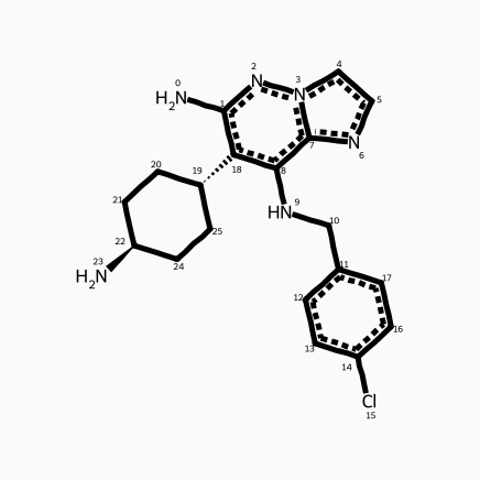 Nc1nn2ccnc2c(NCc2ccc(Cl)cc2)c1[C@H]1CC[C@H](N)CC1